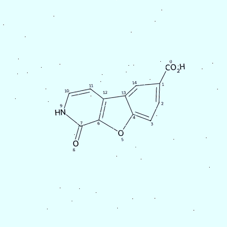 O=C(O)c1ccc2oc3c(=O)[nH]ccc3c2c1